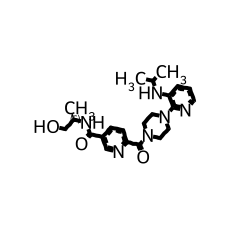 CC(C)Nc1cccnc1N1CCN(C(=O)c2ccc(C(=O)N[C@@H](C)CO)cn2)CC1